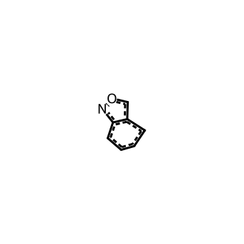 c1ccc2nocc2c1